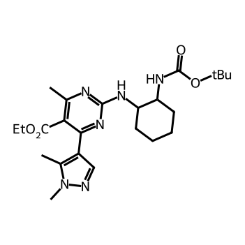 CCOC(=O)c1c(C)nc(NC2CCCCC2NC(=O)OC(C)(C)C)nc1-c1cnn(C)c1C